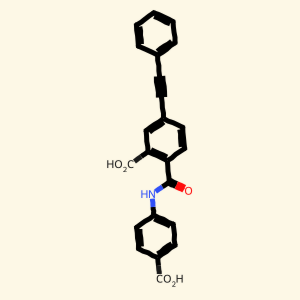 O=C(O)c1ccc(NC(=O)c2ccc(C#Cc3ccccc3)cc2C(=O)O)cc1